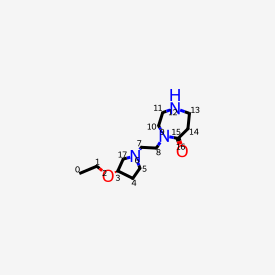 CCO[C@H]1CCN(CCN2CCNCCC2=O)C1